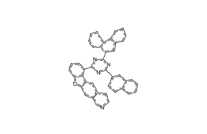 c1ccc2cc(-c3nc(-c4cc5ccccc5c5ccccc45)nc(-c4cccc5oc6cc7cnccc7cc6c45)n3)ccc2c1